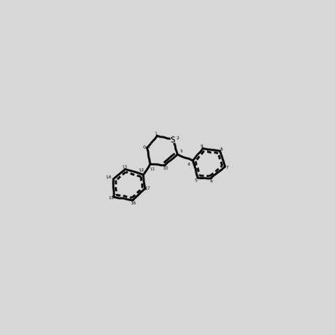 [CH]1CSC(c2ccccc2)=CC1c1ccccc1